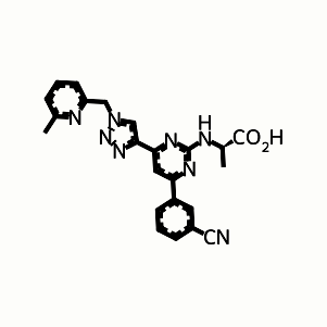 Cc1cccc(Cn2cc(-c3cc(-c4cccc(C#N)c4)nc(N[C@H](C)C(=O)O)n3)nn2)n1